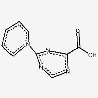 O=C(O)c1ncnc(-[n+]2ccccc2)n1